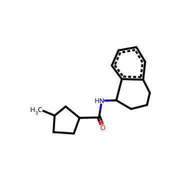 CC1CCC(C(=O)NC2CCCc3ccccc32)C1